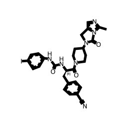 Cc1ncc2n1C(=O)N(C1CCN(C(=O)[C@@H](Cc3ccc(C#N)cc3)NC(=O)Nc3ccc(I)cc3)CC1)C2